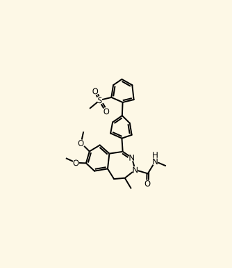 CNC(=O)N1N=C(c2ccc(-c3ccccc3S(C)(=O)=O)cc2)c2cc(OC)c(OC)cc2CC1C